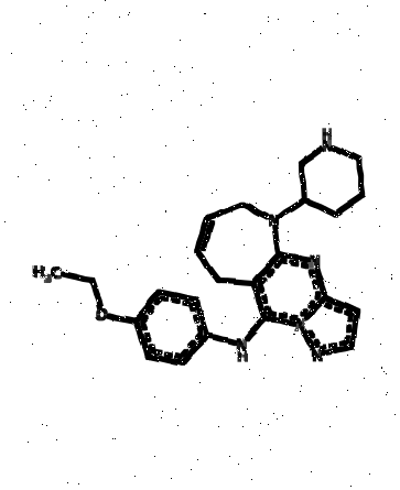 CCOc1ccc(Nc2c3c(nc4ccnn24)N(C2CCCNC2)CC=CC3)cc1